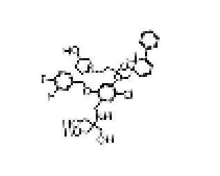 CC1(C)C(c2ccccc2)=CC=C[C@@]1(COc1cc(OCc2ccc(F)c(F)c2)c(CNC(CO)(CO)CO)cc1Cl)OCCCN1CCC(O)C1